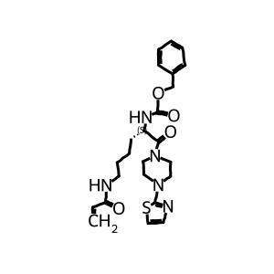 C=CC(=O)NCCCC[C@H](NC(=O)OCc1ccccc1)C(=O)N1CCN(c2nccs2)CC1